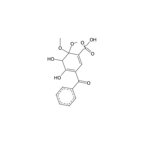 COC1(OC)C(S(=O)(=O)O)=CC(C(=O)c2ccccc2)=C(O)C1O